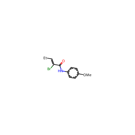 CCC=C(Br)C(=O)Nc1ccc(OC)cc1